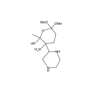 CCCC1(C)O[Si](OC)(OC)CCC1([SiH3])C1CNCCN1